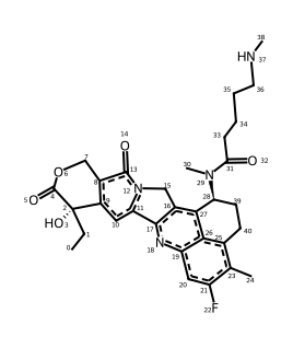 CC[C@@]1(O)C(=O)OCc2c1cc1n(c2=O)Cc2c-1nc1cc(F)c(C)c3c1c2[C@@H](N(C)C(=O)CCCCNC)CC3